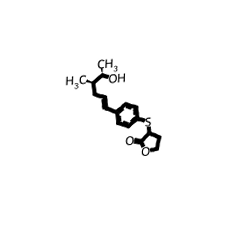 C[C@H](O)[C@H](C)C/C=C/c1ccc(SC2CCOC2=O)cc1